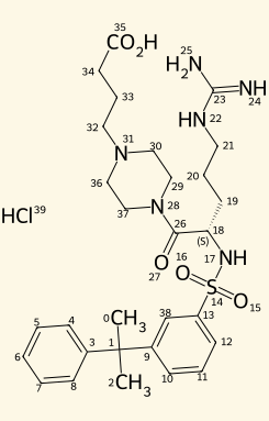 CC(C)(c1ccccc1)c1cccc(S(=O)(=O)N[C@@H](CCCNC(=N)N)C(=O)N2CCN(CCCC(=O)O)CC2)c1.Cl